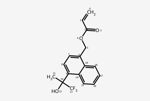 C=CC(=O)OCc1ccc(C(C)(O)C(F)(F)F)c2ccccc12